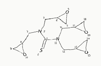 S=C(N(CC1CO1)CC1CO1)N(CC1CO1)CC1CO1